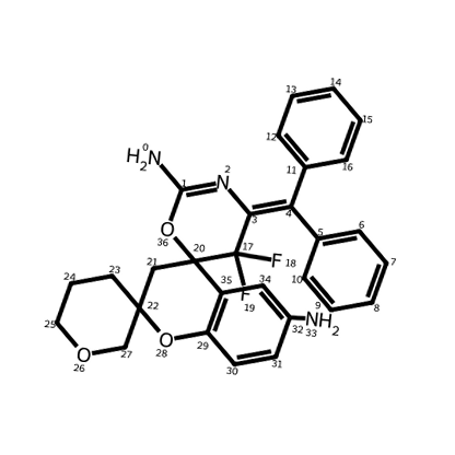 NC1=NC(=C(c2ccccc2)c2ccccc2)C(F)(F)C2(CC3(CCCOC3)Oc3ccc(N)cc32)O1